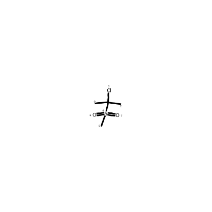 CC(C)(Cl)S(C)(=O)=O